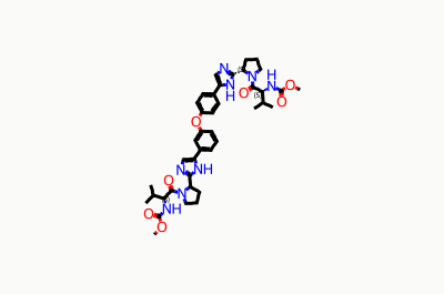 COC(=O)N[C@H](C(=O)N1CCCC1c1ncc(-c2cccc(Oc3ccc(-c4cnc([C@@H]5CCCN5C(=O)[C@@H](NC(=O)OC)C(C)C)[nH]4)cc3)c2)[nH]1)C(C)C